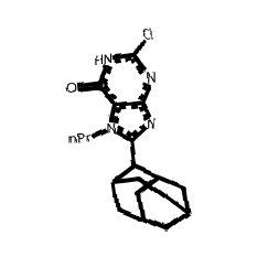 CCCn1c(C2C3CC4CC(C3)CC2C4)nc2nc(Cl)[nH]c(=O)c21